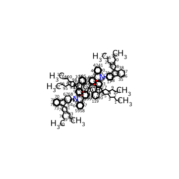 CCCCCCC1(CCCCC)c2cc(N(c3ccc4c(c3)C(CCCCC)(CCCCC)C3=C4C=CCC3)c3ccccc3-c3ccc(C(C)(C)c4ccc(-c5ccccc5N(C5=CC6=C(CC5)c5ccccc5C6(CCCCC)CCCCC)c5ccc6c(c5)C(CCCCC)(CCCCC)c5ccccc5-6)cc4)cc3)ccc2C2C=CC=CC21